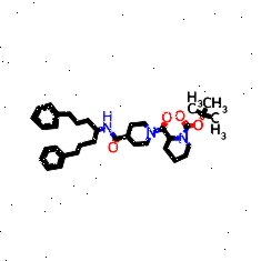 CC(C)(C)OC(=O)N1CCCCC1C(=O)N1CCC(C(=O)NC(CCCc2ccccc2)CCCc2ccccc2)CC1